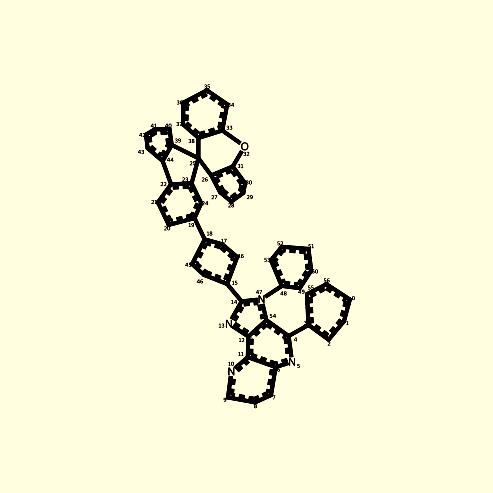 c1ccc(-c2nc3cccnc3c3nc(-c4ccc(-c5ccc6c(c5)C5(c7ccccc7Oc7ccccc75)c5ccccc5-6)cc4)n(-c4ccccc4)c23)cc1